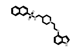 O=S(=O)(NCC1CCN(CCOc2cccc3[nH]ccc23)CC1)c1ccc2ccccc2c1